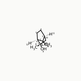 CC1(C)[C@H]2CC[C@@H]1[C@@](C)(O)C2